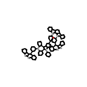 c1ccc(-n2c3c(c4cc(-c5ccc(-n6c7ccccc7c7ccc8c9ccccc9n(-c9cccc(-c%10c%11ccccc%11nc%11sc%12ccccc%12c%10%11)c9)c8c76)cc5)ccc42)-c2ccccc2N(c2cccc(-c4c5ccccc5nc5sc6ccccc6c45)c2)c2ccccc2-3)cc1